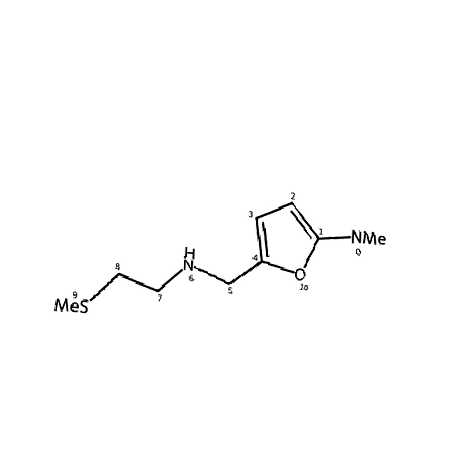 CNc1ccc(CNCCSC)o1